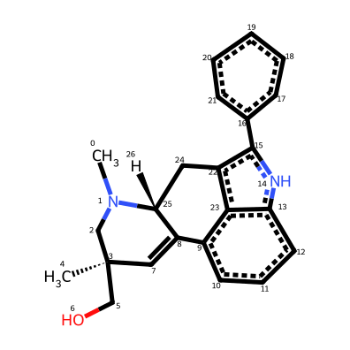 CN1C[C@](C)(CO)C=C2c3cccc4[nH]c(-c5ccccc5)c(c34)C[C@H]21